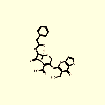 O=C(Cc1ccccc1)NC1C(=O)N2C(C(=O)O)=C(Sc3sc4ccsc4c(=O)c3CO)CS[C@H]12